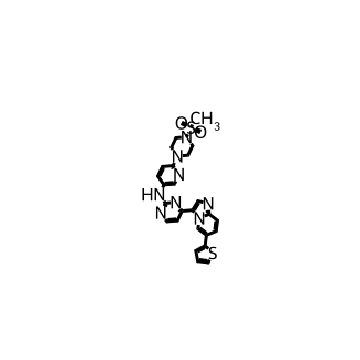 CS(=O)(=O)N1CCN(c2ccc(Nc3nccc(-c4cnc5ccc(-c6cccs6)cn45)n3)cn2)CC1